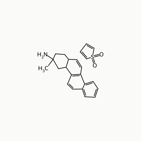 CC1(N)CCC2C=Cc3c(ccc4ccccc34)C2C1.O=S1(=O)C=CC=C1